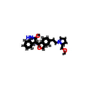 COCC1CCCN1CCc1ccc2c(c1)CO/C2=C1/C(=O)Nc2ccccc21